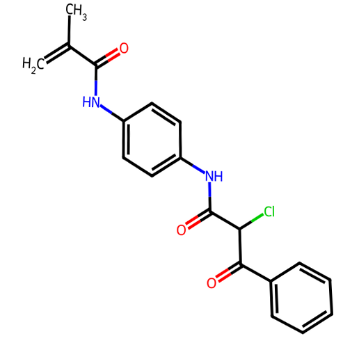 C=C(C)C(=O)Nc1ccc(NC(=O)C(Cl)C(=O)c2ccccc2)cc1